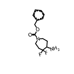 NC1CCN(C(=O)OCc2ccccc2)CCC1(F)F